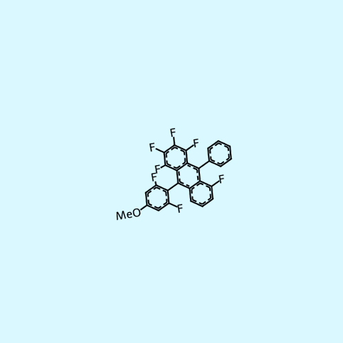 COc1cc(F)c(-c2c3cccc(F)c3c(-c3ccccc3)c3c(F)c(F)c(F)c(F)c23)c(F)c1